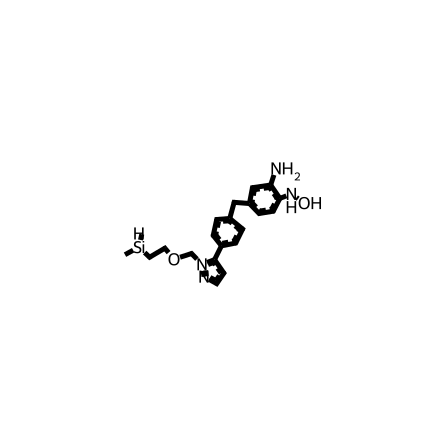 C[SiH](C)CCOCn1nccc1-c1ccc(Cc2ccc(NO)c(N)c2)cc1